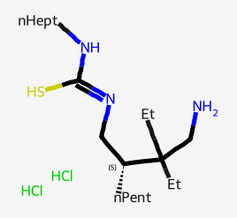 CCCCCCCNC(S)=NC[C@@H](CCCCC)C(CC)(CC)CN.Cl.Cl